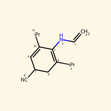 C=CNC1=C(C(C)C)CC(C#N)C=C1C(C)C